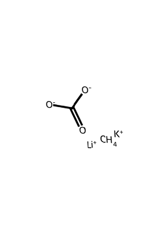 C.O=C([O-])[O-].[K+].[Li+]